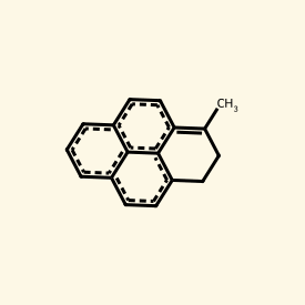 CC1=c2ccc3cccc4ccc(c2c43)CC1